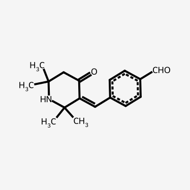 CC1(C)CC(=O)/C(=C\c2ccc(C=O)cc2)C(C)(C)N1